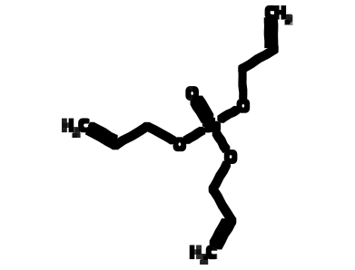 C=CC[O][Sb](=[O])([O]CC=C)[O]CC=C